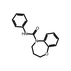 O=C(Nc1ccccc1)N1CCCOc2ccccc21